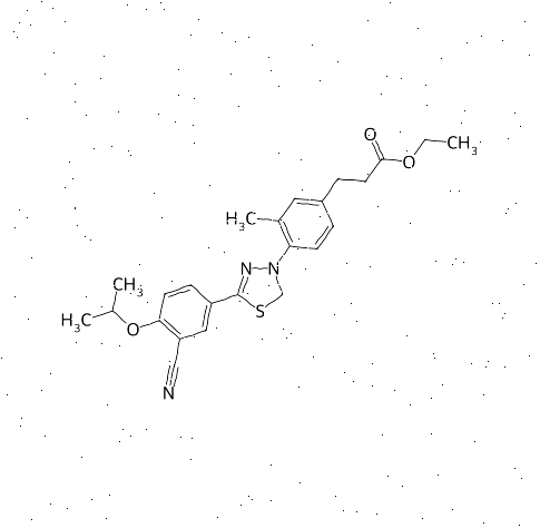 CCOC(=O)CCc1ccc(N2CSC(c3ccc(OC(C)C)c(C#N)c3)=N2)c(C)c1